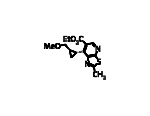 CCOC(=O)c1cnc2sc(C)nc2c1[C@@H]1C[C@H]1COC